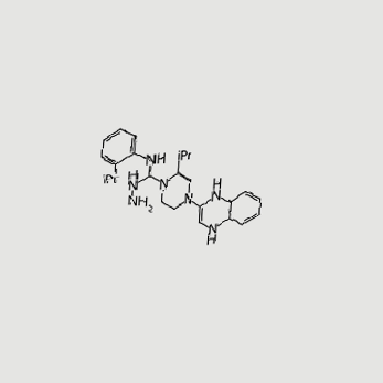 CC(C)c1ccccc1NC(NN)N1CCN(C2=CNC3C=CC=CC3N2)CC1C(C)C